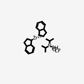 BN(C(C)C)C(C)C.C1=CC2CC[CH]([Zr+2][CH]3CCC4C=CC=CC43)C2C=C1.[Cl-].[Cl-]